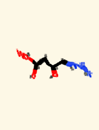 [N-]=[N+]=CC(=O)[CH]C(=O)O